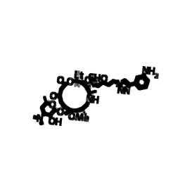 CC[C@H]1OC(=O)CC(=O)C[C@@H](O[C@@H]2O[C@H](C)CC(N(C)C)C2O)[C@](C)(OC)C[C@@H](C)CN[C@H](C)[C@@H](N(C=O)CCCCn2cc(-c3cccc(N)c3)nn2)[C@]1(C)O